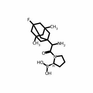 CC12CC3(C)CC(F)(C1)CC(C(N)C(=O)N1CCC[C@H]1B(O)O)(C2)C3